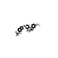 CO[C@H]1CN(C[C@H]2Cc3ccc(NC(=O)C(C)C)cc3C2)CC[C@@H]1n1c(C)nc2cc(C)ccc21